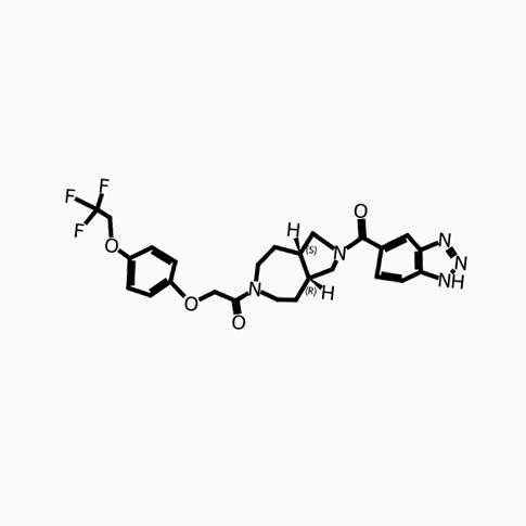 O=C(COc1ccc(OCC(F)(F)F)cc1)N1CC[C@@H]2CN(C(=O)c3ccc4[nH]nnc4c3)C[C@@H]2CC1